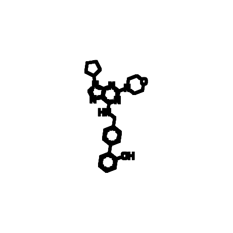 Oc1ccccc1-c1ccc(CNc2nc(N3CCOCC3)nc3c2ncn3C2CCCC2)cc1